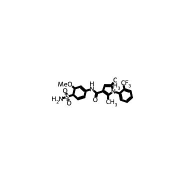 COC1C=C(NC(=O)c2cc(C)n(-c3ccccc3C(F)(F)F)c2C)C=CC1S(N)(=O)=O